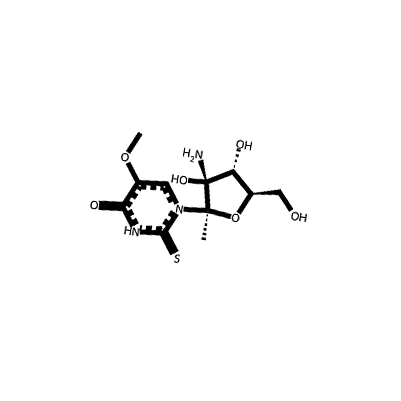 COc1cn([C@]2(C)O[C@H](CO)[C@@H](O)[C@@]2(N)O)c(=S)[nH]c1=O